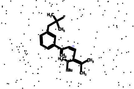 C=C(/C=C\C(=C(C)C)N(C)CCCC)c1cccc(CC(C)(C)F)c1